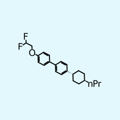 CCC[C@H]1CC[C@H](c2ccc(-c3ccc(OCC(F)F)cc3)cc2)CC1